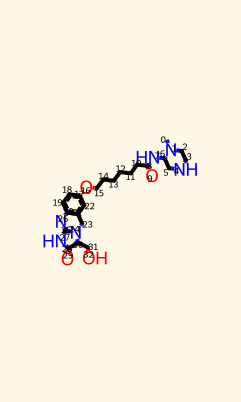 CN1CCNCC1NC(=O)CCCCCCOc1ccc2c(c1)CN1C(=N2)NC(=O)C1CO